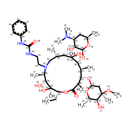 CC[C@H]1OC(=O)[C@H](C)[C@@H](O[C@H]2C[C@@](C)(OC)[C@@H](O)[C@H](C)O2)[C@H](C)[C@@H](O[C@@H]2O[C@H](C)C[C@H](N(C)C)[C@H]2O)[C@](C)(O)C[C@@H](C)CN(CCNC(=O)Nc2ccccc2)[C@H](C)[C@@H](O)[C@]1(C)O